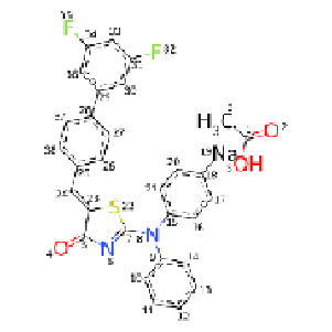 CC(=O)O.O=C1N=C(N(c2ccccc2)c2cc[c]([Na])cc2)SC1=Cc1ccc(-c2cc(F)cc(F)c2)cc1